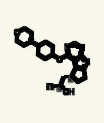 CC[C@H](O)C[C@H]1CCc2sc3ncnc(OC4CCC(N5CCOCC5)CC4)c3c21